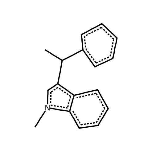 CC(c1ccccc1)c1cn(C)c2ccccc12